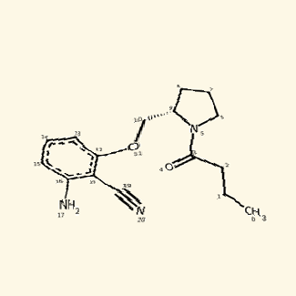 CCCC(=O)N1CCC[C@H]1COc1cccc(N)c1C#N